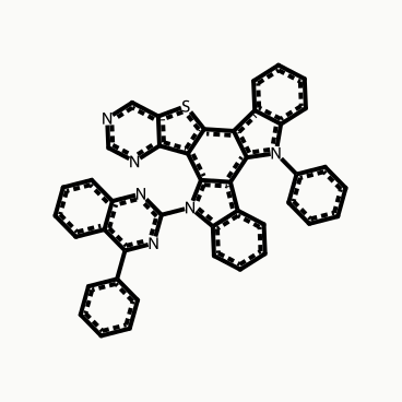 c1ccc(-c2nc(-n3c4ccccc4c4c5c(c6ccccc6n5-c5ccccc5)c5sc6cncnc6c5c43)nc3ccccc23)cc1